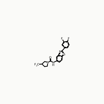 O=C(Nc1ccc2sc(-c3ccc(F)c(F)c3)nc2c1)N1CCC(C(F)(F)F)C1